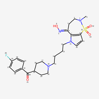 CN1CCC(=NO)c2c(ccn2CCCCN2CCC(C(=O)c3ccc(F)cc3)CC2)S1(=O)=O